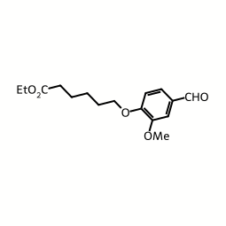 CCOC(=O)CCCCCOc1ccc(C=O)cc1OC